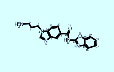 NCCCn1cnc2cc(C(=O)Nc3nc4ccccc4o3)ccc21